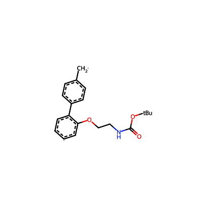 [CH2]c1ccc(-c2cc[c]cc2OCCNC(=O)OC(C)(C)C)cc1